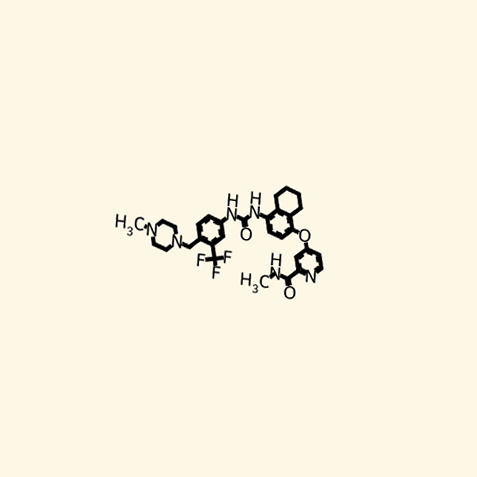 CNC(=O)c1cc(Oc2ccc(NC(=O)Nc3ccc(CN4CCN(C)CC4)c(C(F)(F)F)c3)c3c2CCCC3)ccn1